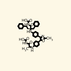 Cc1nc(-c2ccc(N[C@@](CCc3ccccc3)(Cc3ccccc3)C(=O)NC(=O)O)cc2)c(-c2ccc(N[C@@H](C)C(=O)NC(=O)O)cc2)o1